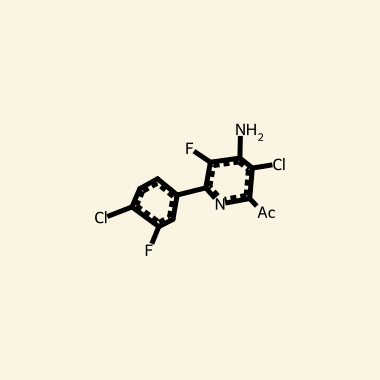 CC(=O)c1nc(-c2ccc(Cl)c(F)c2)c(F)c(N)c1Cl